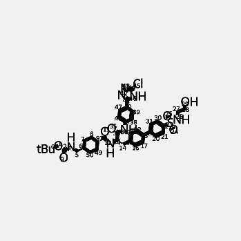 CC(C)(C)OC(=O)NC[C@H]1CC[C@H](C(=O)N[C@@H](Cc2ccc(-c3ccc(S(=O)(=O)NCCO)cc3)cc2)C(=O)Nc2ccc(-c3nnc(Cl)[nH]3)cc2)CC1